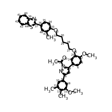 COc1ccc(-c2cc(-c3cc(C)c(C)c(OC)c3)nn2C(C)=O)cc1OCCCCCOc1ccc(-c2nc3ccccc3s2)cc1C